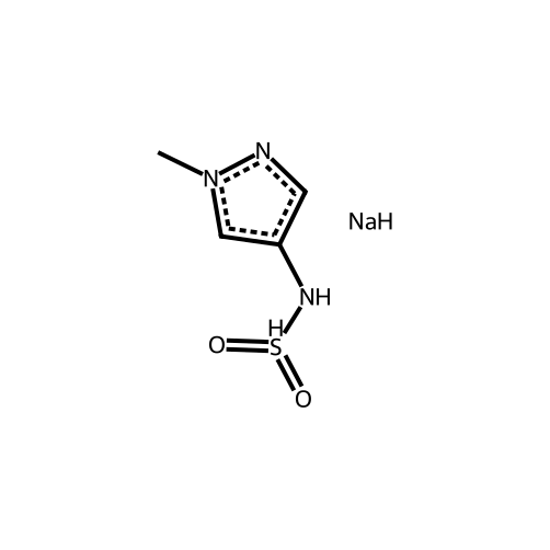 Cn1cc(N[SH](=O)=O)cn1.[NaH]